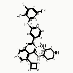 O[C@H]1CNCC[C@H]1Nc1nc(-c2ccnc(Nc3nc(F)cc(F)c3F)c2)nc2cncc(C3CCC3)c12